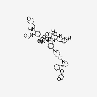 O=C(NS(=O)(=O)c1ccc(NCC2CCOCC2)c([N+](=O)[O-])c1)c1ccc(N2CCC3(CC2)CC(N2CCC[C@H]2c2ccccc2O[C@H]2CCOC2)C3)cc1N1c2cc3cc[nH]c3nc2O[C@@H]2COC[C@H]21